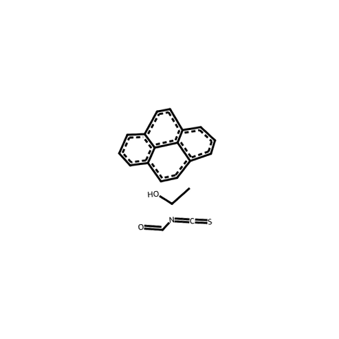 CCO.O=CN=C=S.c1cc2ccc3cccc4ccc(c1)c2c34